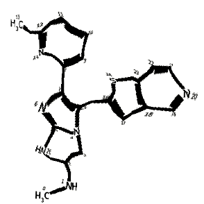 CNC1Cn2c(nc(-c3cccc(C)n3)c2-c2cc3cnccc3s2)N1